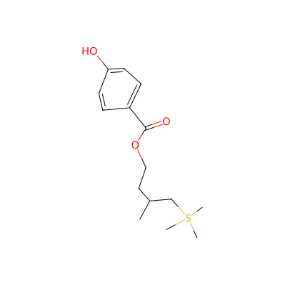 CC(CCOC(=O)c1ccc(O)cc1)CS(C)(C)C